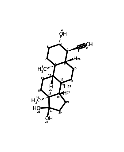 C#C[C@@H]1[C@@H](O)CC[C@@]2(C)[C@H]1CC[C@@H]1[C@@H]2CC[C@@]2(C)[C@H]1CCC2(O)O